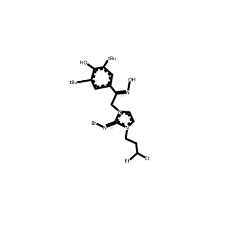 CCC(CC)CCn1ccn(C/C(=N/O)c2cc(C(C)(C)C)c(O)c(C(C)(C)C)c2)/c1=N\Br